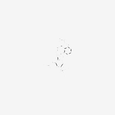 Fc1cccc2c1C1(CC[C@@]23CN2C=C(C(F)(F)F)C=C(OC(F)F)C2=N3)SCCS1